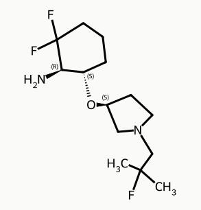 CC(C)(F)CN1CC[C@H](O[C@H]2CCCC(F)(F)[C@@H]2N)C1